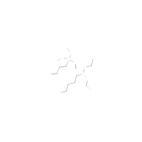 CCO[SiH](CCCCS)OCC.CO[Si](CCCS)(OC)OC